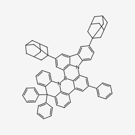 c1ccc(-c2cc3c4c(c2)-n2c5ccc(C67CC8CC(CC(C8)C6)C7)cc5c5cc(C67CC8CC(CC(C8)C6)C7)cc(c52)B4N2c4ccccc4C(c4ccccc4)(c4ccccc4)c4cccc-3c42)cc1